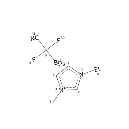 CCn1cc[n+](C)c1.[BH3-]C(F)(F)C#N